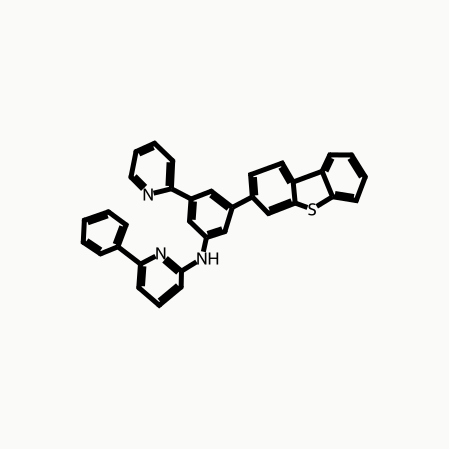 c1ccc(-c2cccc(Nc3cc(-c4ccc5c(c4)sc4ccccc45)cc(-c4ccccn4)c3)n2)cc1